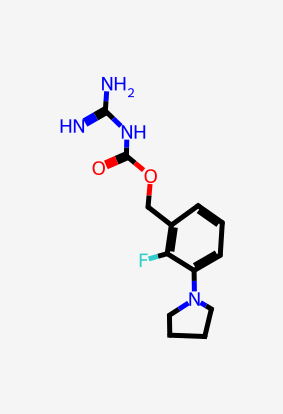 N=C(N)NC(=O)OCc1cccc(N2CCCC2)c1F